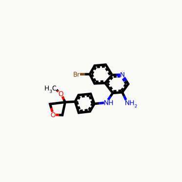 COC1(c2ccc(Nc3c(N)cnc4ccc(Br)cc34)cc2)COC1